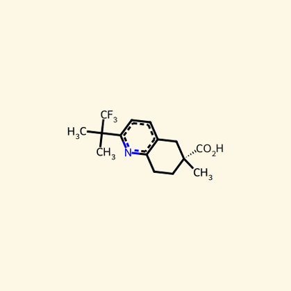 CC(C)(c1ccc2c(n1)CC[C@@](C)(C(=O)O)C2)C(F)(F)F